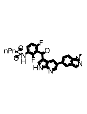 CCCS(=O)(=O)Nc1ccc(F)c(C(=O)c2c[nH]c3ncc(-c4ccc5c(cnn5C)c4)cc23)c1F